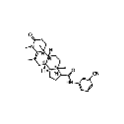 CC1=C2N(C)C(=O)CC[C@]2(C)[C@@H]2CC[C@]3(C)C(C(=O)Nc4cccc(C#N)c4)CC[C@H]3[C@@H]2C1